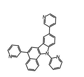 c1ccc(-n2c3ccc(-c4cccnc4)cc3c3cc(-c4cccnc4)c4ccccc4c32)nc1